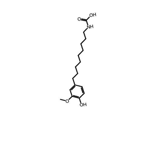 COc1cc(CCCCCCCCCNC(=O)O)ccc1O